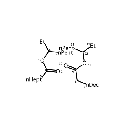 CCCCCCCC(=O)OC(CC)CCCCC.CCCCCCCCCCCC(=O)OC(CC)CCCCC